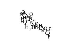 CC(C(=O)Nc1cnc(Oc2ccc(F)cc2F)cn1)N1CCN(C(=O)c2cnc3ncoc3c2)C(C)(C)C1